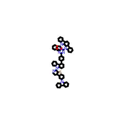 c1ccc(-c2nc(-c3ccc(-c4cccc5c4c4ccccc4n5-c4nccc5c4sc4ccc(-n6c7ccccc7c7ccccc76)cc45)cc3)nc(-n3c4ccccc4c4ccc5c6ccccc6n(-c6ccccc6)c5c43)n2)cc1